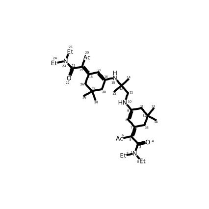 CCN(CC)C(=O)/C(C(C)=O)=C1/C=C(NCC(C)(C)NC2=C/C(=C(\C(C)=O)C(=O)N(CC)CC)CC(C)(C)C2)CC(C)(C)C1